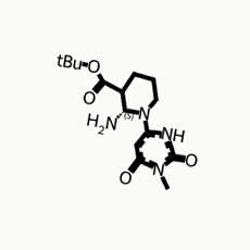 Cn1c(=O)cc(N2CCCC(C(=O)OC(C)(C)C)[C@H]2N)[nH]c1=O